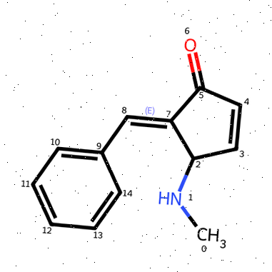 CNC1C=CC(=O)/C1=C/c1ccccc1